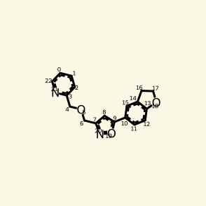 c1ccc(COCc2cc(-c3ccc4c(c3)CCO4)on2)nc1